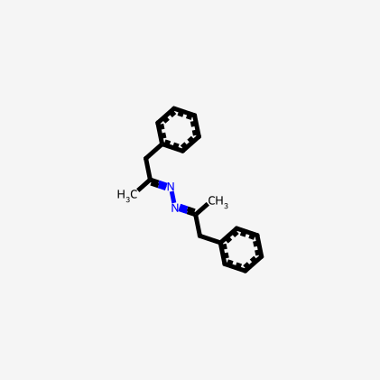 C/C(Cc1ccccc1)=N\N=C(/C)Cc1ccccc1